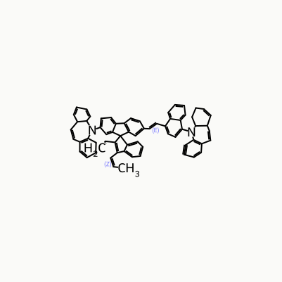 C=CC1=C(/C=C\C)c2ccccc2C12c1cc(/C=C/c3ccc(N4c5c#cccc5C=CC5C=CCCC54)c4ccccc34)ccc1-c1ccc(N3C4=C(C=CCC4)C=CC4C=CC=CC43)cc12